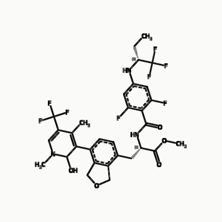 CC[C@@H](Nc1cc(F)c(C(=O)N[C@@H](Cc2ccc(C3=C(C)C(C(F)(F)F)=CN(C)C3O)c3c2COC3)C(=O)OC)c(F)c1)C(F)(F)F